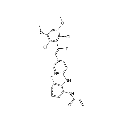 C=CC(=O)Nc1cccc(F)c1Nc1ccc(/C=C(\F)c2c(Cl)c(OC)cc(OC)c2Cl)cn1